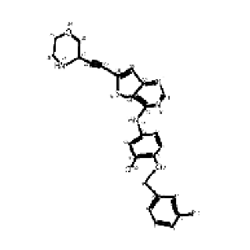 Fc1cccc(COc2ccc(Nc3ncnc4cc(C#CC5COCCN5)sc34)cc2Cl)c1